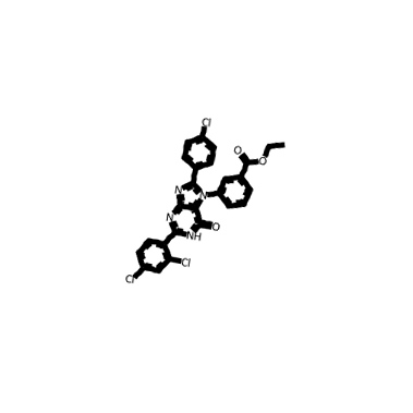 CCOC(=O)c1cccc(-n2c(-c3ccc(Cl)cc3)nc3nc(-c4ccc(Cl)cc4Cl)[nH]c(=O)c32)c1